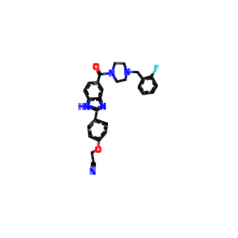 N#CCOc1ccc(-c2nc3cc(C(=O)N4CCN(Cc5ccccc5F)CC4)ccc3[nH]2)cc1